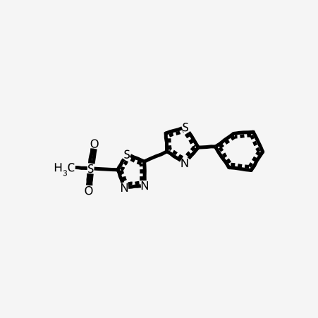 CS(=O)(=O)c1nnc(-c2csc(-c3ccccc3)n2)s1